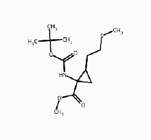 COC(=O)C1(NC(=O)OC(C)(C)C)CC1CCSC